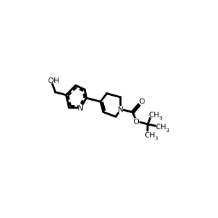 CC(C)(C)OC(=O)N1CC=C(c2ccc(CO)cn2)CC1